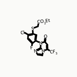 CCOC(=O)CSc1cc(-n2c(=O)cc(C(F)(F)F)n3ccnc23)c(F)cc1Cl